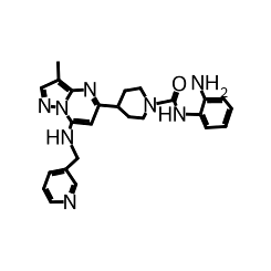 Cc1cnn2c(NCc3cccnc3)cc(C3CCN(C(=O)Nc4ccccc4N)CC3)nc12